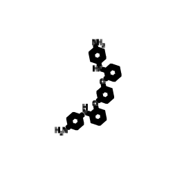 Nc1ccc(Nc2ccccc2Oc2cccc(Oc3ccccc3Nc3ccc(N)cc3)c2)cc1